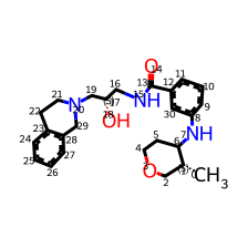 C[C@@H]1COCCC1Nc1cccc(C(=O)NC[C@H](O)CN2CCc3ccccc3C2)c1